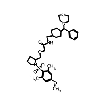 COc1cc(C)c(S(=O)(=O)N2CCCC2COCC(=O)NCC2CCC(C(c3ccccc3)N3CCOCC3)CC2)c(C)c1